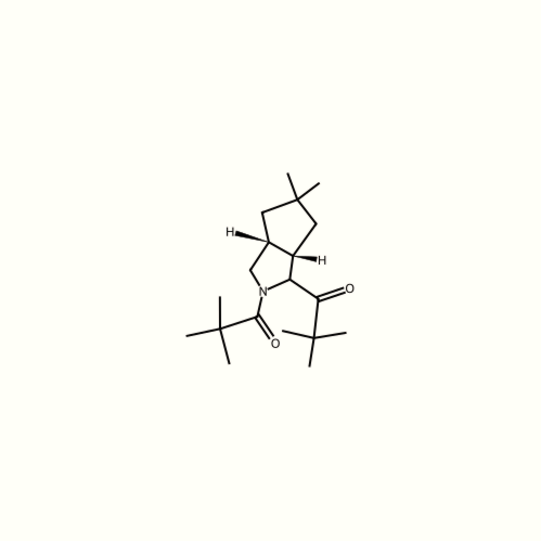 CC1(C)C[C@H]2CN(C(=O)C(C)(C)C)C(C(=O)C(C)(C)C)[C@H]2C1